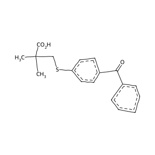 CC(C)(CSc1ccc(C(=O)c2ccccc2)cc1)C(=O)O